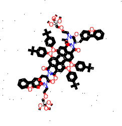 CO[Si](COCCN(C(=O)C(Cc1ccc2oc3ccccc3c2c1)N1C(=O)c2cc(Oc3ccc(C(C)(C)C)cc3)c3c4c(Oc5ccc(C(C)(C)C)cc5)cc5c6c(cc(Oc7ccc(C(C)(C)C)cc7)c(c7c(Oc8ccc(C(C)(C)C)cc8)cc(c2c37)C1=O)c64)C(=O)N([C@@H](Cc1ccc2oc3ccccc3c2c1)C(=O)N(CCOC[Si](OC)(OC)OC)C(C)C)C5=O)C(C)C)(OC)OC